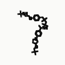 CC(NC(C)(C)CC(C)(C)Cc1ccc(OCCNC(C)(C)C)cc1)c1ccc(N2CC[C@H](OCC(C)(C)C)C2)cc1